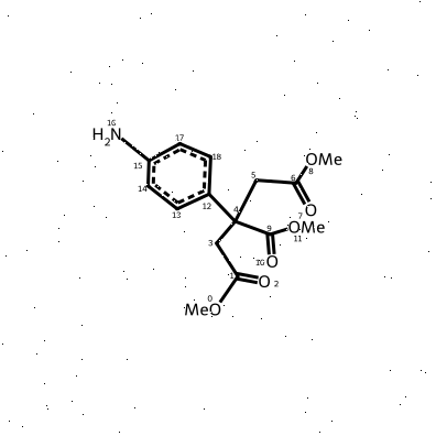 COC(=O)CC(CC(=O)OC)(C(=O)OC)c1ccc(N)cc1